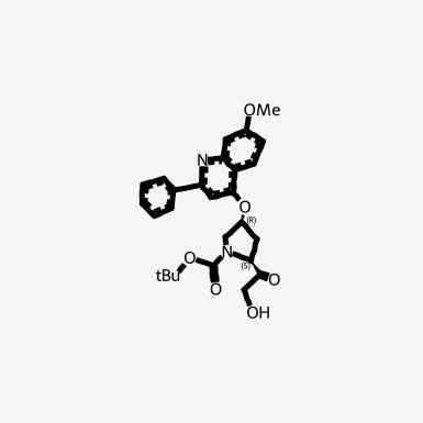 COc1ccc2c(O[C@@H]3C[C@@H](C(=O)CO)N(C(=O)OC(C)(C)C)C3)cc(-c3ccccc3)nc2c1